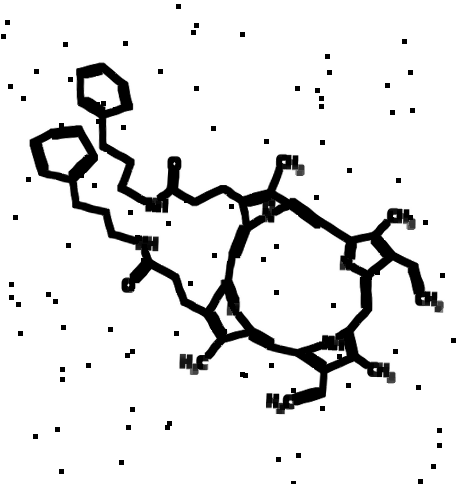 C=CC1=C(C)c2cc3[nH]c(cc4nc(cc5[nH]c(cc1n2)c(C)c5C=C)C(C)=C4CCC(=O)NCCCc1ccccc1)c(CCC(=O)NCCCc1ccccc1)c3C